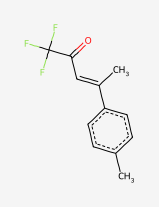 CC(=CC(=O)C(F)(F)F)c1ccc(C)cc1